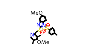 COc1ccc2c(c1)nc([S+]([O-])Cc1ncc(C)c(OC)c1C)n2S(=O)(=O)c1ccc(C)cc1